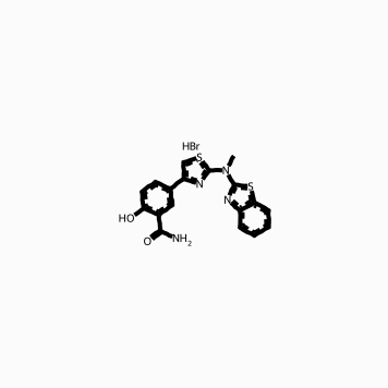 Br.CN(c1nc(-c2ccc(O)c(C(N)=O)c2)cs1)c1nc2ccccc2s1